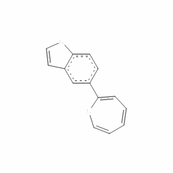 C1=CC=C(c2ccc3c(c2)C=C[N]3)NC=C1